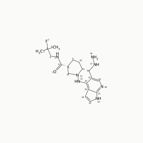 CC(C)(F)CNC(=O)[C@@H]1CCCN(Nc2c(CNN)cnc3[nH]ccc23)C1